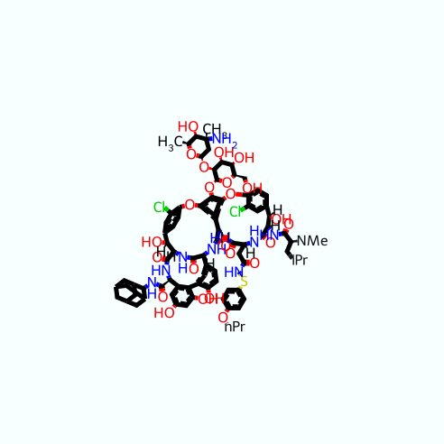 CCCOc1ccc(SNC(=O)C[C@@H]2NC(=O)[C@H](NC(=O)[C@H](CC(C)C)NC)[C@H](O)c3ccc(c(Cl)c3)Oc3cc4cc(c3O[C@@H]3O[C@H](CO)[C@H](O)[C@H](O)[C@@H]3O[C@H]3C[C@](C)(N)[C@H](O)[C@H](C)O3)Oc3ccc(cc3Cl)[C@H](O)[C@H]3NC(=O)[C@@H](NC(=O)[C@@H]4NC2=O)c2ccc(O)c(c2)-c2c(O)cc(O)cc2[C@@H](C(=O)NC2C4CC5CC(C4)CC2C5)NC3=O)cc1